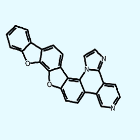 c1ccc2c(c1)oc1c2ccc2c1oc1ccc3c4cnccc4c4nccn4c3c12